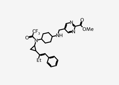 CCC(=Cc1ccccc1)C1CC1N(C(=O)C(F)(F)F)C1CCC(NCc2cnc(C(=O)OC)nc2)CC1